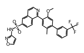 COc1cc(-c2cccc(C(F)(F)F)c2)c(C)cc1-c1nccc2cc(S(=O)(=O)Nc3ccon3)ccc12